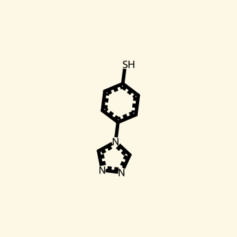 Sc1ccc(-n2cnnc2)cc1